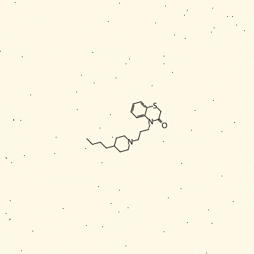 CCCCC1CCN(CCCN2C(=O)CSc3ccccc32)CC1